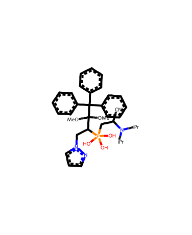 COC(OC)(C(Cn1cccn1)P(O)(O)(O)CC(C#N)N(C(C)C)C(C)C)C(c1ccccc1)(c1ccccc1)c1ccccc1